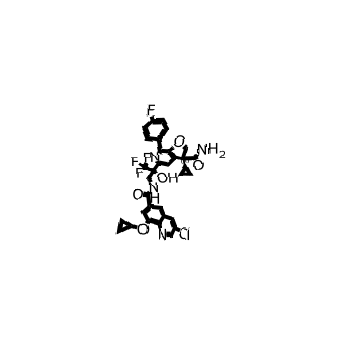 NC(=O)[C@@]1(C2CC2)COc2c1cc(C(O)(CNC(=O)c1cc(OC3CC3)c3ncc(Cl)cc3c1)C(F)(F)F)nc2-c1ccc(F)cc1